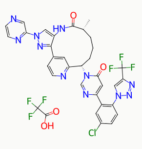 C[C@@H]1CCC[C@H](n2cnc(-c3cc(Cl)ccc3-n3cc(C(F)(F)F)nn3)cc2=O)c2cc(ccn2)-c2nn(-c3cnccn3)cc2NC1=O.O=C(O)C(F)(F)F